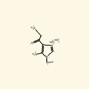 CCCCCCn1cnc(C(=O)CN)c1N.Cl.Cl